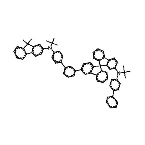 CC1(C)c2ccccc2-c2ccc(N(c3ccc(-c4cccc(-c5ccc6c(c5)-c5ccccc5C65c6ccccc6-c6ccc(N(c7ccc(-c8ccccc8)cc7)C(C)(C)C)cc65)c4)cc3)C(C)(C)C)cc21